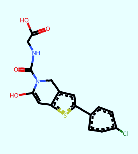 O=C(O)CNC(=O)N1Cc2cc(-c3ccc(Cl)cc3)sc2C=C1O